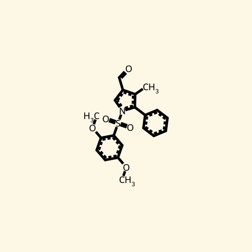 COc1ccc(OC)c(S(=O)(=O)n2cc(C=O)c(C)c2-c2ccccc2)c1